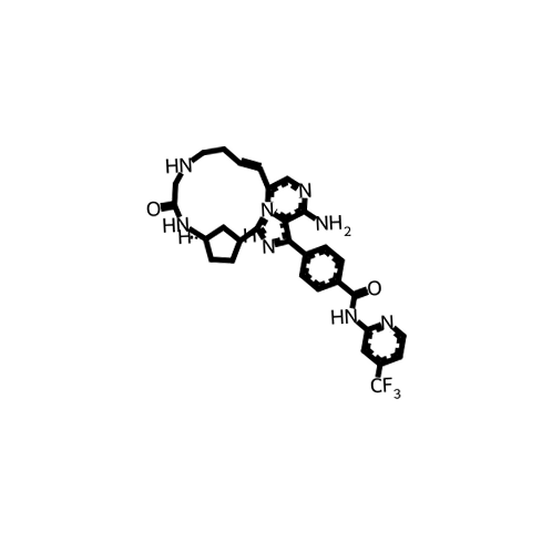 Nc1ncc2n3c(nc(-c4ccc(C(=O)Nc5cc(C(F)(F)F)ccn5)cc4)c13)[C@@H]1CC[C@H](C1)NC(=O)CNCC/C=C/2